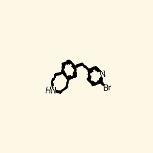 Brc1ccc(Cc2ccc3c(c2)CCNCC3)cn1